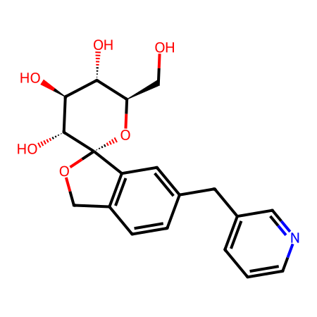 OC[C@H]1O[C@]2(OCc3ccc(Cc4cccnc4)cc32)[C@H](O)[C@@H](O)[C@@H]1O